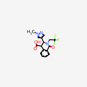 Cn1cc(C2C(C(=O)O)c3ccccc3C(=O)N2CC(F)(F)F)cn1